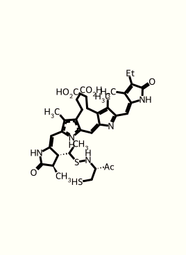 CCC1=C(C)/C(=C\C2=NC(=C/c3[nH]c(/C=C4/NC(=O)[C@H](C)[C@H]4C(C)SN[C@@H](CS)C(C)=O)c(C)c3CCC(=O)O)/C(CCC(=O)O)=C2C)NC1=O